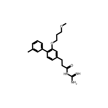 COCCCOc1cc(CCC(=O)NC(=N)N)ccc1-c1cccc(C)c1